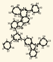 c1ccc(-c2nc(-c3ccc4c(c3)c3ccccc3n4-c3ccccc3)cc(-c3cccc4c3sc3ccc5c(-c6ccccc6)nc6ccccc6c5c34)n2)cc1